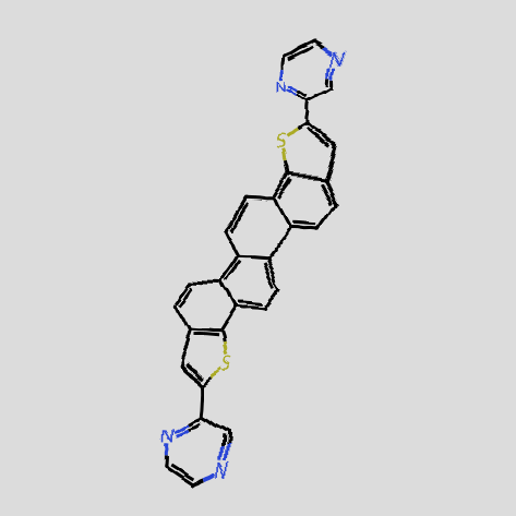 c1cnc(-c2cc3ccc4c5ccc6c(ccc7cc(-c8cnccn8)sc76)c5ccc4c3s2)cn1